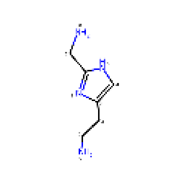 NCCc1c[nH]c(CN)n1